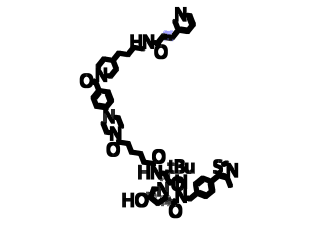 Cc1ncsc1-c1ccc(CNC(=O)[C@@H]2C[C@@H](O)CN2C(=O)[C@@H](NC(=O)CCCCC(=O)N2CCN(c3ccc(C(=O)N4CCC(CCCCNC(=O)/C=C/c5cccnc5)CC4)cc3)CC2)C(C)(C)C)cc1